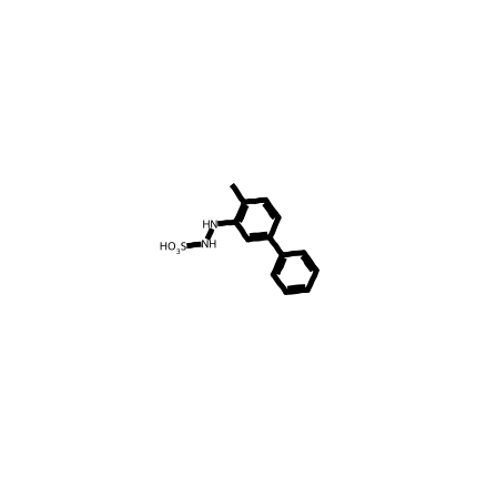 Cc1ccc(-c2ccccc2)cc1NNS(=O)(=O)O